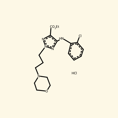 CCOC(=O)c1nn(CCCN2CCOCC2)nc1Nc1ccccc1Cl.Cl